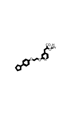 CC(C)OC(Cc1ccnc(OCCOc2ccc(C3CCCC3)cc2)c1)C(=O)O